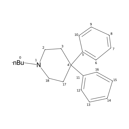 CCC[CH]N1CCC(c2ccccc2)(c2ccccc2)CC1